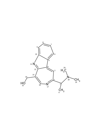 CC(c1cc2c3ccccc3nc-2c(CO)cn1)N(C)C